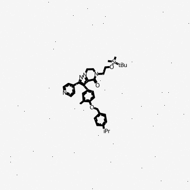 Cc1cc(-c2c(-c3ccncc3)nn3c2C(=O)N(CCO[Si](C)(C)C(C)(C)C)CC3)ccc1OCc1ccc(C(C)C)cc1